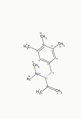 C=C(C)[C@@H](Cc1cc(C)c(C)c(C)c1)N(C)C(C)=O